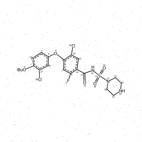 CC(C)COc1ncc(Oc2cc(F)c(C(=O)NS(=O)(=O)N3CCNCC3)cc2Cl)cc1Cl